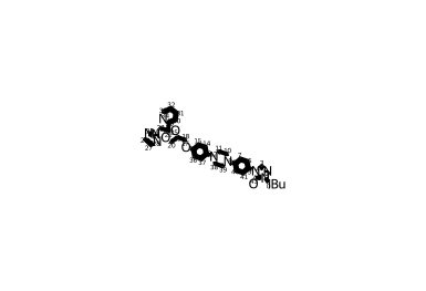 CCC(C)n1ncn(-c2ccc(N3CCN(c4ccc(OCC5COC(Cn6nccn6)(c6ccccn6)O5)cc4)CC3)cc2)c1=O